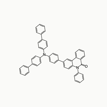 O=c1c2ccccc2c2cc(-c3ccc(N(c4ccc(-c5ccccc5)cc4)c4ccc(-c5ccccc5)cc4)cc3)ccc2n1-c1ccccc1